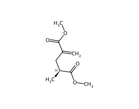 C=C(C[C@H](C)C(=O)OC)C(=O)OC